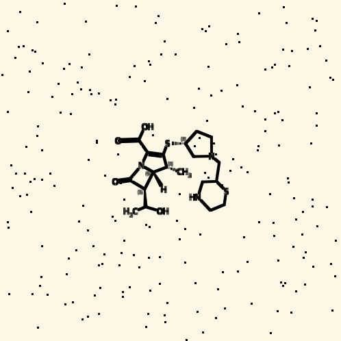 CC(O)[C@H]1C(=O)N2C(C(=O)O)=C(S[C@@H]3CCN(CC4CNCCS4)C3)[C@H](C)[C@H]12